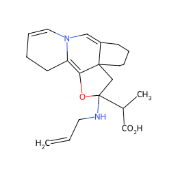 C=CCNC1(C(C)C(=O)O)CC23CCCCC2=CN2C=CCCC2=C3O1